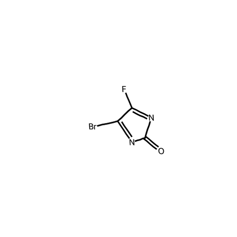 O=C1N=C(F)C(Br)=N1